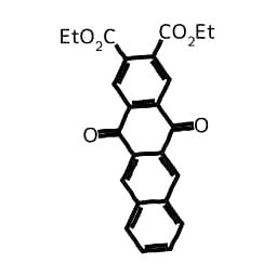 CCOC(=O)c1cc2c(cc1C(=O)OCC)C(=O)c1cc3ccccc3cc1C2=O